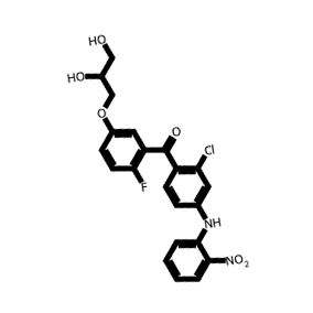 O=C(c1cc(OCC(O)CO)ccc1F)c1ccc(Nc2ccccc2[N+](=O)[O-])cc1Cl